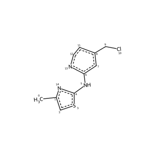 Cc1csc(Nc2cc(CCl)ccn2)n1